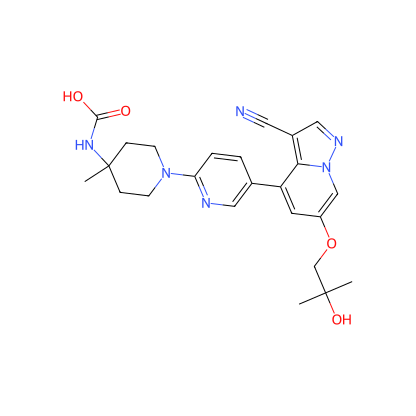 CC(C)(O)COc1cc(-c2ccc(N3CCC(C)(NC(=O)O)CC3)nc2)c2c(C#N)cnn2c1